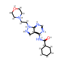 O=C(Nc1ncnc2c1cnn2CCN1CCOCC1)C1CCCCC1